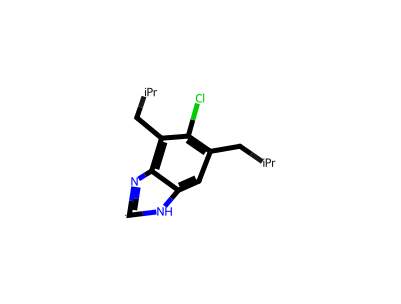 CC(C)Cc1cc2[nH][c]nc2c(CC(C)C)c1Cl